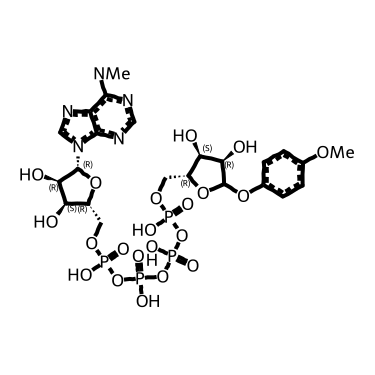 CNc1ncnc2c1ncn2[C@@H]1O[C@H](COP(=O)(O)OP(=O)(O)OP(=O)(O)OP(=O)(O)OC[C@H]2OC(Oc3ccc(OC)cc3)[C@H](O)[C@@H]2O)[C@@H](O)[C@H]1O